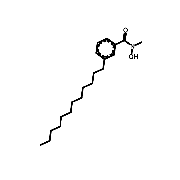 CCCCCCCCCCCCc1cccc(C(=O)N(C)O)c1